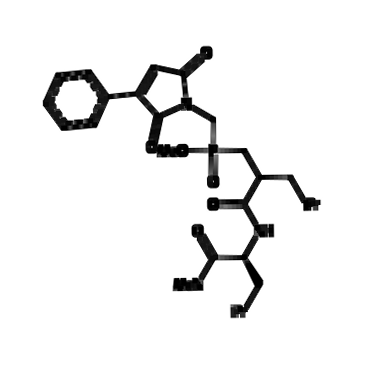 CNC(=O)[C@H](CC(C)C)NC(=O)C(CC(C)C)CP(=O)(CN1C(=O)C=C(c2ccccc2)C1=O)OC